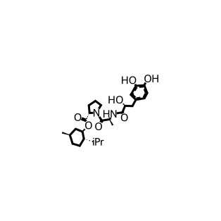 CC(C)[C@@H]1CC[C@@H](C)C[C@H]1OC(=O)[C@@H]1CCCN1C(=O)[C@H](C)NC(=O)[C@H](O)Cc1ccc(O)c(O)c1